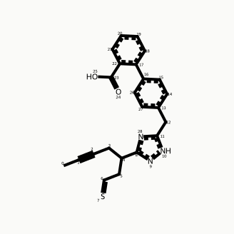 CC#CCC(CC=S)c1n[nH]c(Cc2ccc(-c3ccccc3C(=O)O)cc2)n1